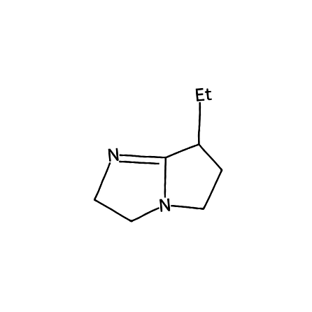 CCC1CCN2CCN=C12